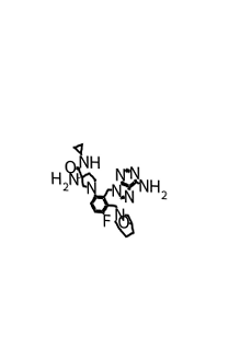 Nc1ncnc2c1ncn2Cc1c(N2CC[C@](N)(C(=O)NC3CC3)C2)ccc(F)c1CN1CC2CCC(C1)O2